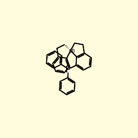 c1ccc(P(c2ccccc2)c2cccc3c2[C@]2(CCc4ccccc42)CC3)cc1